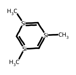 C[si]1c[si](C)c[si](C)c1